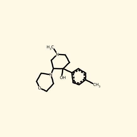 Cc1ccc(C2(O)CCN(C)CC2N2CCOCC2)cc1